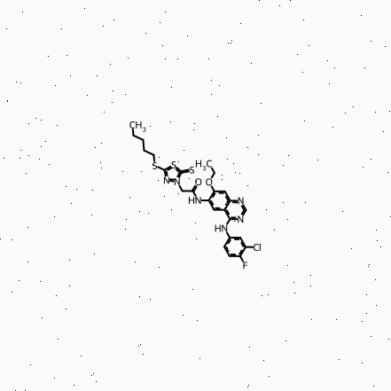 CCCCCSc1nn(CC(=O)Nc2cc3c(Nc4ccc(F)c(Cl)c4)ncnc3cc2OCC)c(=S)s1